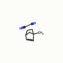 CC12C=CC(CC1)C2.N#CC#N